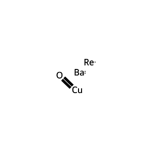 [Ba].[O]=[Cu].[Re]